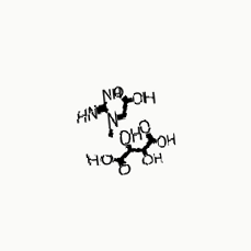 CN(CC(=O)O)C(=N)N.O=C(O)C(O)C(O)C(=O)O